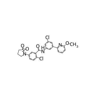 COc1cccc(-c2cc(Cl)cc(NC(=O)c3cc(N4CCCS4(=O)=O)ccc3Cl)c2)n1